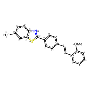 COc1ccccc1C=Cc1ccc(-c2nc3ccc(C)cc3s2)cc1